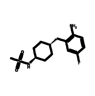 CS(=O)(=O)N[C@H]1CC[C@H](Cc2cc(F)ccc2N)CC1